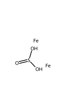 O=S(O)O.[Fe].[Fe]